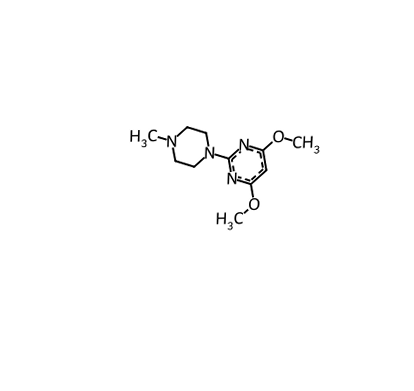 COc1cc(OC)nc(N2CCN(C)CC2)n1